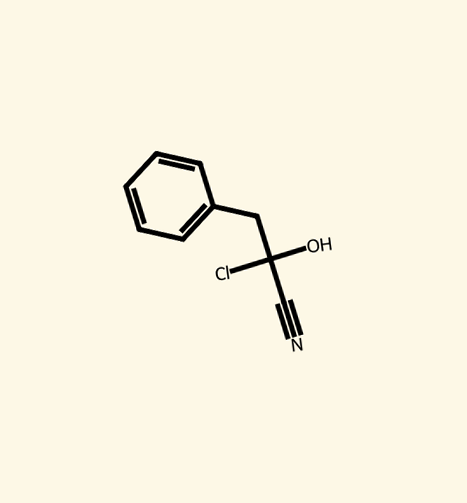 N#CC(O)(Cl)Cc1ccccc1